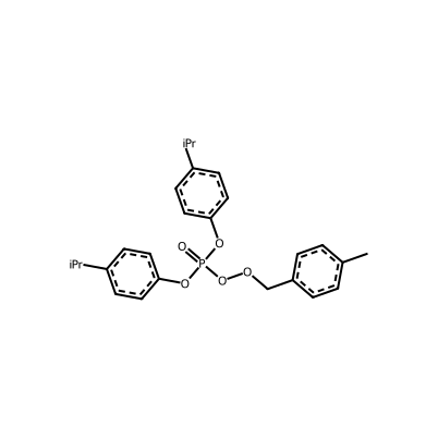 Cc1ccc(COOP(=O)(Oc2ccc(C(C)C)cc2)Oc2ccc(C(C)C)cc2)cc1